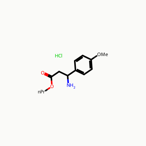 CCCOC(=O)CC(N)c1ccc(OC)cc1.Cl